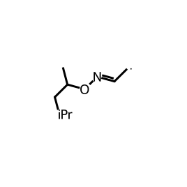 [CH2]C=NOC(C)CC(C)C